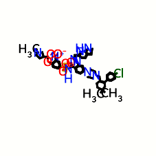 CN1CCC(COc2ccc(S(=O)(=O)NC(=O)c3ccc(N4CCN(CC5=C(c6ccc(Cl)cc6)CC(C)(C)CC5)CC4)cc3-n3ncc4nc5[nH]ccc5cc43)cc2[N+](=O)[O-])C1